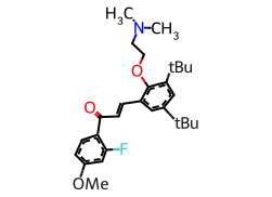 COc1ccc(C(=O)C=Cc2cc(C(C)(C)C)cc(C(C)(C)C)c2OCCN(C)C)c(F)c1